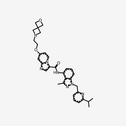 Cc1nn(Cc2cccc(C(C)C)n2)c2cccc(NC(=O)c3cnc4cc(OCCN5CC6(COC6)C5)ccn34)c12